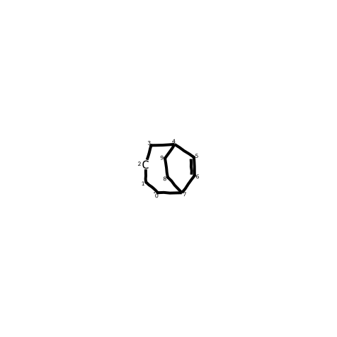 [CH]1CCCC2C=CC1CC2